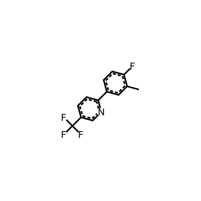 Cc1cc(-c2ccc(C(F)(F)F)cn2)ccc1F